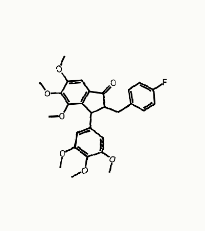 COc1cc(C2c3c(cc(OC)c(OC)c3OC)C(=O)C2Cc2ccc(F)cc2)cc(OC)c1OC